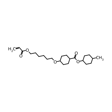 C=CC(=O)OCCCCCCOC1CCC(C(=O)OC2CCC(C)CC2)CC1